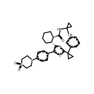 N#CC1(NC(=O)[C@@H]2CCCC[C@H]2c2nc(C3(c4ccccc4)CC3)sc2-c2ccc(N3CCS(=O)(=O)CC3)cc2)CC1